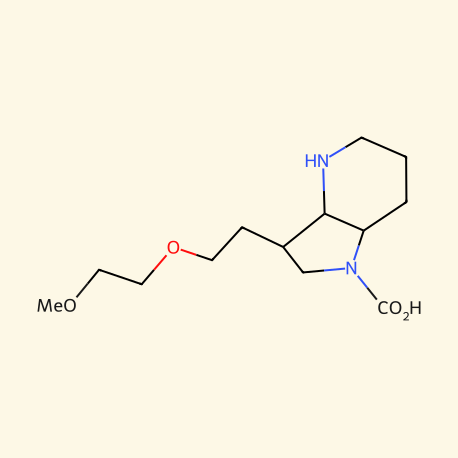 COCCOCCC1CN(C(=O)O)C2CCCNC12